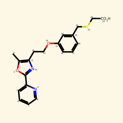 Cc1oc(-c2ccccn2)nc1CCOc1cccc(CSCC(=O)O)c1